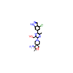 Cc1nc(N2CCC3(CC2)CO[C@@H](C)[C@H]3N)c(CO)nc1-c1cc(Cl)c2cn[nH]c2c1